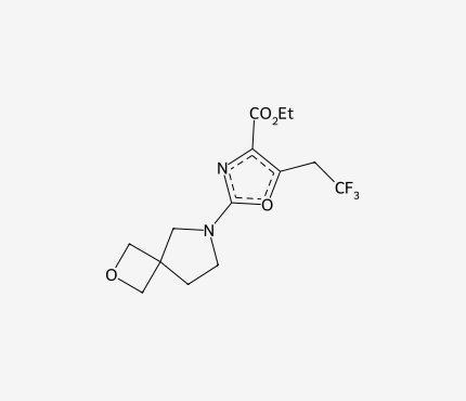 CCOC(=O)c1nc(N2CCC3(COC3)C2)oc1CC(F)(F)F